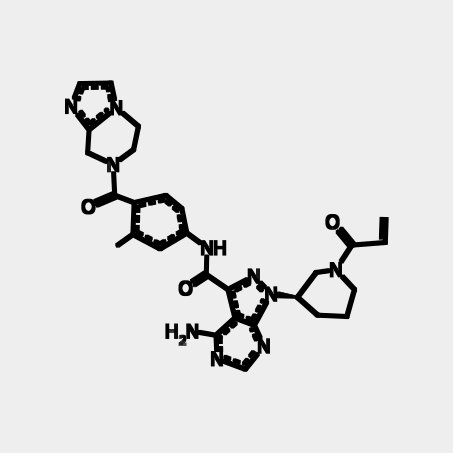 C=CC(=O)N1CCC[C@@H](n2nc(C(=O)Nc3ccc(C(=O)N4CCn5ccnc5C4)c(C)c3)c3c(N)ncnc32)C1